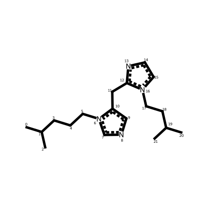 CC(C)CCCn1cncc1Cc1nccn1CCC(C)C